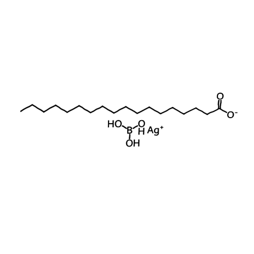 CCCCCCCCCCCCCCCCCC(=O)[O-].OB(O)O.[Ag+]